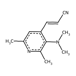 Cc1cc(C=CC#N)c(N(C)C)c(C)n1